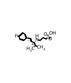 CC(C)[C@H](/C=C/c1ccc(F)cc1)NCCCS(=O)(=O)O